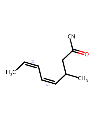 C/C=C\C=C/C(C)CC(=O)C#N